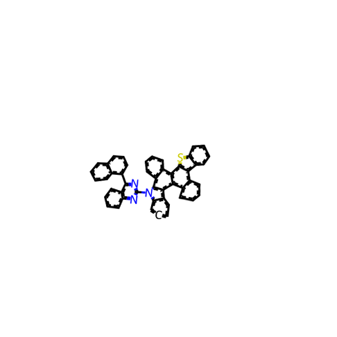 c1ccc2c(-c3nc(-n4c5ccccc5c5c6c7ccccc7c7c8ccccc8sc7c6c6ccccc6c54)nc4ccccc34)cccc2c1